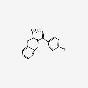 CCOC(=O)C1Cc2ccccc2CN1C(=O)c1ccc(F)cc1